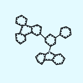 c1ccc(-c2cc(-c3ccc4c5ccccc5c5ccccc5c4c3)cc(-n3c4ccccc4c4ccccc43)c2)cc1